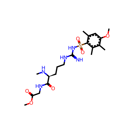 CN[C@@H](CCCNC(=N)NS(=O)(=O)c1c(C)cc(OC)c(C)c1C)C(=O)NCC(=O)OC